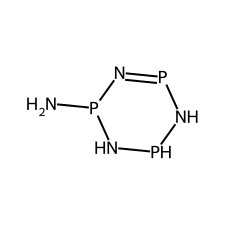 Np1np[nH][pH][nH]1